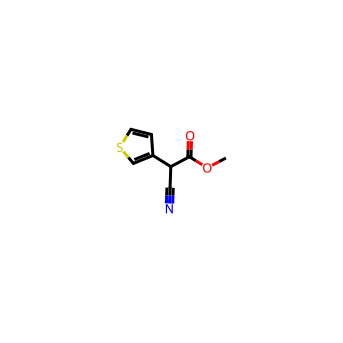 COC(=O)C(C#N)c1ccsc1